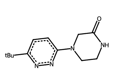 CC(C)(C)c1ccc(N2CCNC(=O)C2)nn1